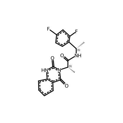 C[C@H](NC(=O)[C@H](C)n1c(=O)[nH]c2ccccc2c1=O)c1ccc(F)cc1F